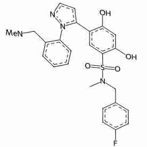 CNCc1ccccc1-n1nccc1-c1cc(S(=O)(=O)N(C)Cc2ccc(F)cc2)c(O)cc1O